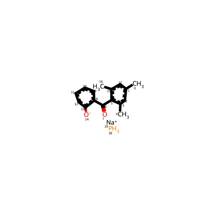 Cc1cc(C)c(C(=O)c2ccccc2[O-])c(C)c1.P.[Na+]